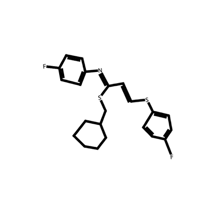 Fc1ccc(N=C(C=CSc2ccc(F)cc2)SCC2CCCCC2)cc1